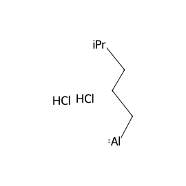 CC(C)CC[CH2][Al].Cl.Cl